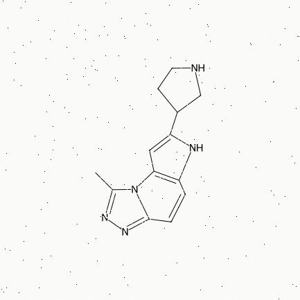 Cc1nnc2ccc3[nH]c(C4CCNC4)cc3n12